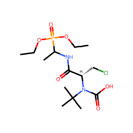 CCOP(=O)(OCC)C(C)NC(=O)[C@H](CCl)N(C(=O)O)C(C)(C)C